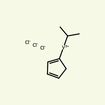 C[CH](C)[V+3][C]1=CC=CC1.[Cl-].[Cl-].[Cl-]